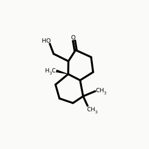 CC1(C)CCC[C@]2(C)C(CO)C(=O)CCC12